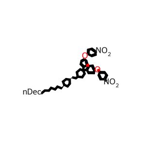 CCCCCCCCCCCCCCCCC[C@H]1CC[C@H](CCC2CCC(c3ccc(Oc4ccc([N+](=O)[O-])cc4)cc3)(c3ccc(Oc4ccc([N+](=O)[O-])cc4)cc3)CC2)CC1